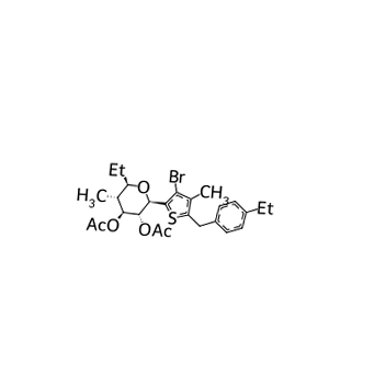 CCc1ccc(Cc2sc([C@@H]3O[C@H](CC)[C@@H](C)[C@H](OC(C)=O)[C@H]3OC(C)=O)c(Br)c2C)cc1